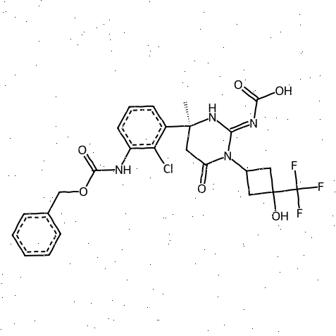 C[C@@]1(c2cccc(NC(=O)OCc3ccccc3)c2Cl)CC(=O)N(C2CC(O)(C(F)(F)F)C2)/C(=N/C(=O)O)N1